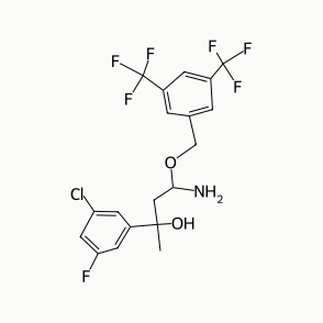 CC(O)(CC(N)OCc1cc(C(F)(F)F)cc(C(F)(F)F)c1)c1cc(F)cc(Cl)c1